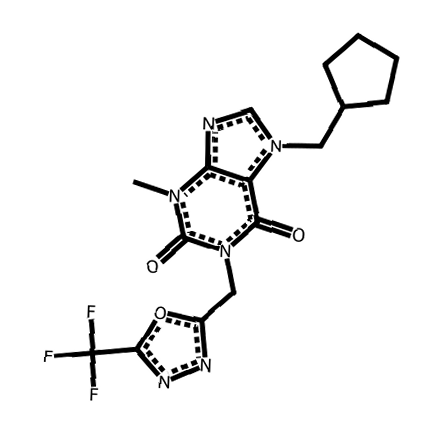 Cn1c(=O)n(Cc2nnc(C(F)(F)F)o2)c(=O)c2c1ncn2CC1CCCC1